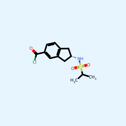 CC(C)S(=O)(=O)N[C@H]1Cc2ccc(C(=O)Cl)cc2C1